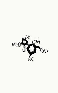 COc1cc(C(C)=O)cc(-c2cc(C(C)=O)cc(CO)c2O)c1O